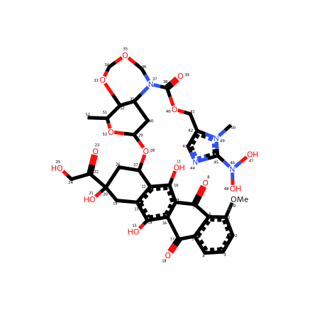 COc1cccc2c1C(=O)c1c(O)c3c(c(O)c1C2=O)CC(O)(C(=O)CO)CC3OC1CC2C(OCOCN2C(=O)OCc2cnc(N(O)O)n2C)C(C)O1